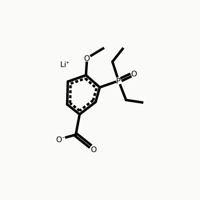 CCP(=O)(CC)c1cc(C(=O)[O-])ccc1OC.[Li+]